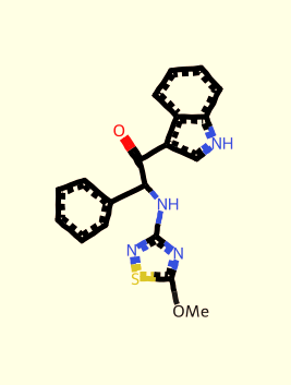 COc1nc(NC(C(=O)c2c[nH]c3ccccc23)c2ccccc2)ns1